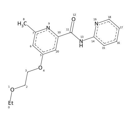 CCOCCOc1cc(C)nc(C(=O)Nc2ccccn2)c1